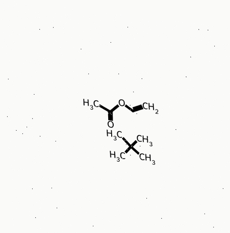 C=COC(C)=O.CC(C)(C)C